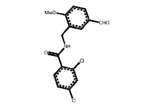 COc1ccc(C=O)cc1CNC(=O)c1ccc(Cl)cc1Cl